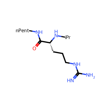 CCCCCNC(=O)[C@@H](CCCNC(=N)N)NC(C)C